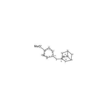 COc1ccc(CN2CC3CC(C2)N3C(C)C)cn1